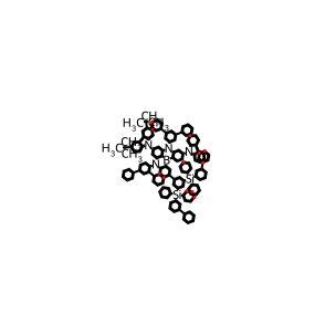 CC(C)(C)c1ccc2c(c1)c1cc(C(C)(C)C)ccc1n2-c1cc2c3c(c1)N(c1ccc(-c4ccccc4)cc1-c1ccccc1)c1ccc(-c4cc([Si](c5ccccc5)(c5ccccc5)c5cccc(-c6ccccc6)c5)cc([Si](c5ccccc5)(c5ccccc5)c5cccc(-c6ccccc6)c5)c4)cc1B3c1ccc(-n3c4ccccc4c4ccccc43)cc1N2c1cc(-c2ccccc2)cc(-c2ccccc2)c1